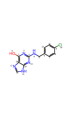 Oc1nc(NCc2ccc(Cl)cc2)nc2[nH]cnc12